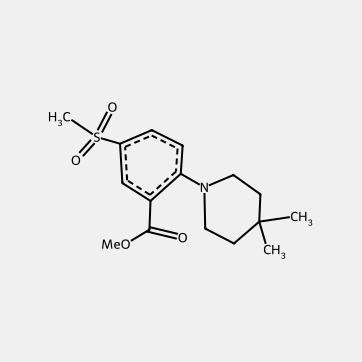 COC(=O)c1cc(S(C)(=O)=O)ccc1N1CCC(C)(C)CC1